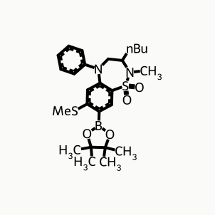 CCCCC1CN(c2ccccc2)c2cc(SC)c(B3OC(C)(C)C(C)(C)O3)cc2S(=O)(=O)N1C